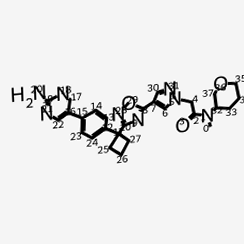 CN(C(=O)Cn1cc(-c2nc(C3(c4ccc(-c5cnc(N)nc5)cc4)CCC3)no2)cn1)C1CCCOC1